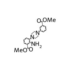 COC(=O)c1cccc(N2CCN(c3cccc(C(=O)OC)c3N)CC2)c1